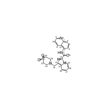 O=C(Nc1cccc2ncccc12)c1nc(CN2CCS(=O)(=O)CC2)c2ccccn12